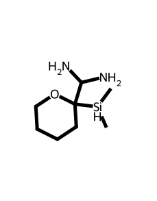 C[SiH](C)C1(C(N)N)CCCCO1